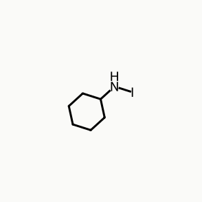 INC1CCCCC1